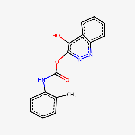 Cc1ccccc1NC(=O)Oc1nnc2ccccc2c1O